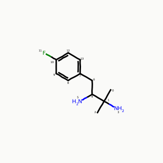 CC(C)(N)C(N)Cc1ccc(F)cc1